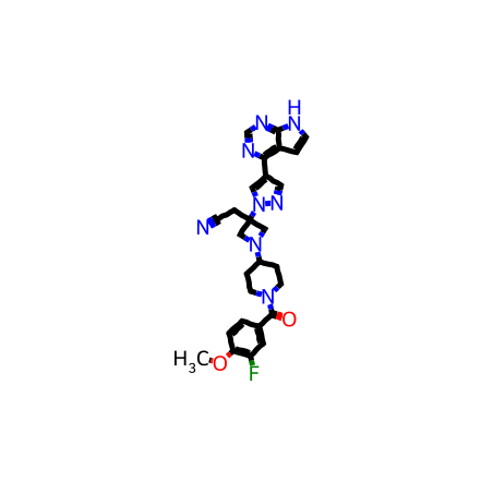 COc1ccc(C(=O)N2CCC(N3CC(CC#N)(n4cc(-c5ncnc6[nH]ccc56)cn4)C3)CC2)cc1F